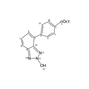 CCCCCCCCc1ccc(-c2cccc3nn(O)nc23)cc1